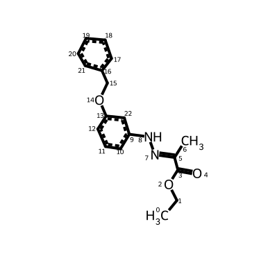 CCOC(=O)/C(C)=N/Nc1cccc(OCc2ccccc2)c1